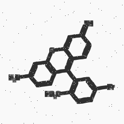 CC(C)c1ccc(C(=O)O)c(-c2c3ccc(=N)cc-3oc3cc(N)ccc23)c1